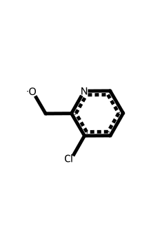 [O]Cc1ncccc1Cl